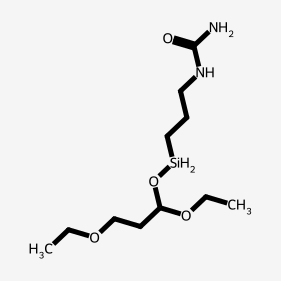 CCOCCC(OCC)O[SiH2]CCCNC(N)=O